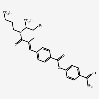 CCOC(=O)CCCN(C(=O)/C(C)=C/c1ccc(C(=O)Oc2ccc(C(=N)N)cc2)cc1)[C@H](CC(C)C)C(=O)OCC